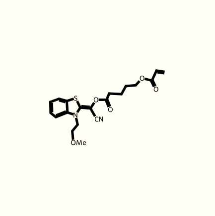 C=CC(=O)OCCCCC(=O)O/C(C#N)=C1\Sc2ccccc2N1CCOC